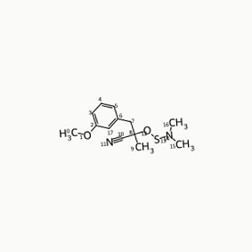 COc1cccc(CC(C)(C#N)OSN(C)C)c1